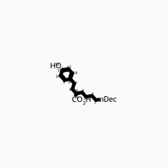 CCCCCCCCCCCCCCC(CCc1ccc(O)cc1)C(=O)O